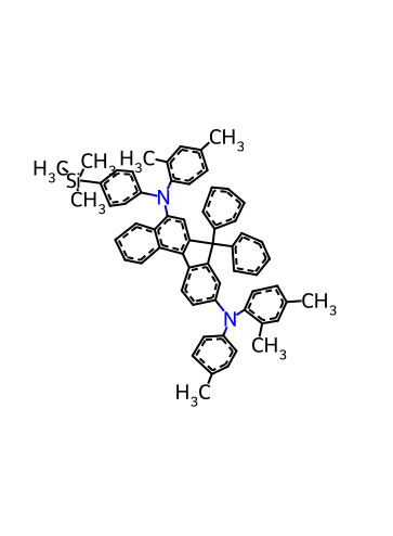 Cc1ccc(N(c2ccc3c(c2)C(c2ccccc2)(c2ccccc2)c2cc(N(c4ccc([Si](C)(C)C)cc4)c4ccc(C)cc4C)c4ccccc4c2-3)c2ccc(C)cc2C)cc1